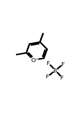 Cc1cc[o+]c(C)c1.F[B-](F)(F)F